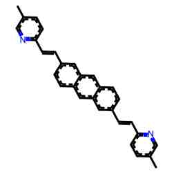 Cc1ccc(/C=C/c2ccc3cc4cc(/C=C/c5ccc(C)cn5)ccc4cc3c2)nc1